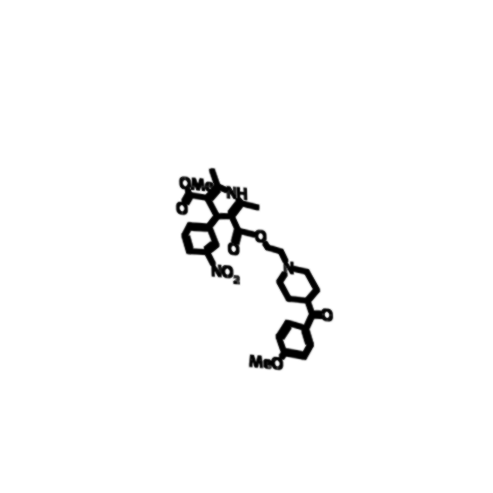 COC(=O)C1=C(C)NC(C)=C(C(=O)OCCN2CCC(C(=O)c3ccc(OC)cc3)CC2)C1c1cccc([N+](=O)[O-])c1